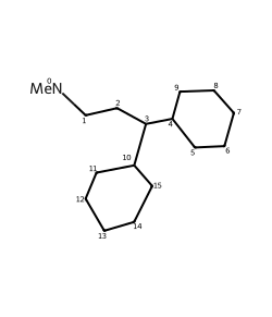 CNCCC(C1CCCCC1)C1CCCCC1